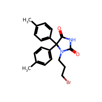 Cc1ccc(C2(c3ccc(C)cc3)C(=O)NC(=O)N2CCCBr)cc1